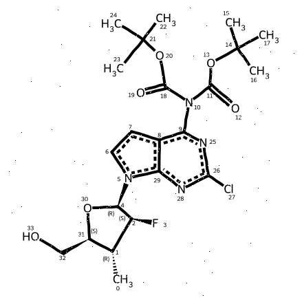 C[C@H]1[C@H](F)[C@H](n2ccc3c(N(C(=O)OC(C)(C)C)C(=O)OC(C)(C)C)nc(Cl)nc32)O[C@@H]1CO